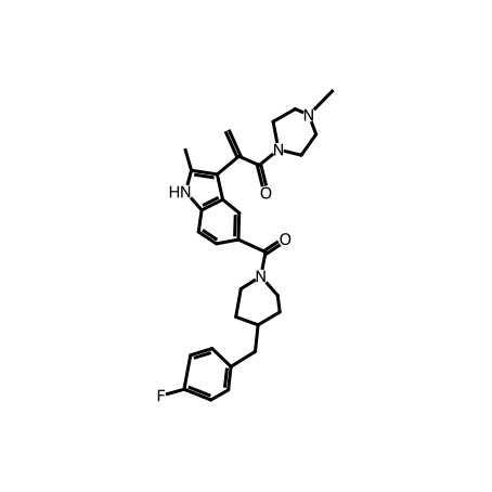 C=C(C(=O)N1CCN(C)CC1)c1c(C)[nH]c2ccc(C(=O)N3CCC(Cc4ccc(F)cc4)CC3)cc12